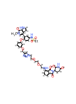 CCS(=O)(=O)Nc1ccc(Oc2cccc(OCc3cn(CCOCCOCCNc4cccc5c4C(=O)N(C4CCC(=O)NC4=O)C5=O)nn3)c2)c(-c2cn(C)c(=O)c3[nH]ccc23)c1